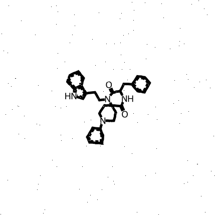 O=C1C(Cc2ccccc2)NC(=O)C2(CCN(c3ccccc3)CC2)N1CCc1c[nH]c2ccccc12